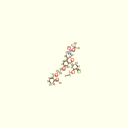 C=CCOc1cc(COC2CN(C(=O)OC(C)(C)C)CCC2c2ccc(OCCCOCc3ccccc3OC)cc2)ccc1Cl